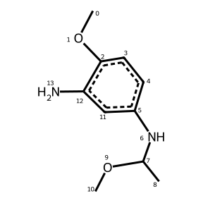 COc1ccc(NC(C)OC)cc1N